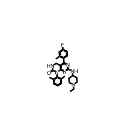 CCN1CCC(Nc2nc(-c3ccc(F)cc3C)c3c(n2)N(c2c(C)cccc2C)C(=O)NC3)CC1